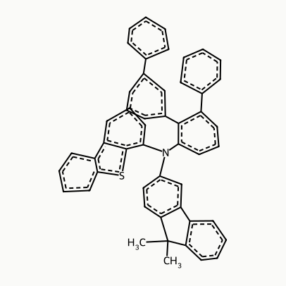 CC1(C)c2ccccc2-c2cc(N(c3cccc(-c4ccccc4)c3-c3cccc(-c4ccccc4)c3)c3cccc4c3sc3ccccc34)ccc21